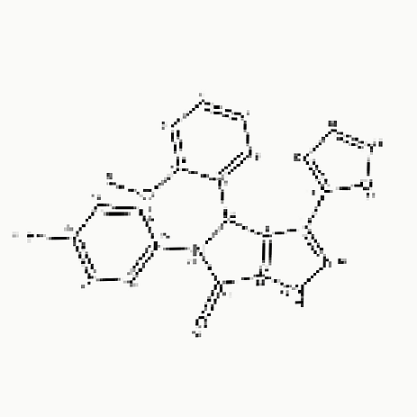 COc1ccccc1C1c2c(-c3ccco3)n[nH]c2C(=O)N1c1ccc(F)cc1